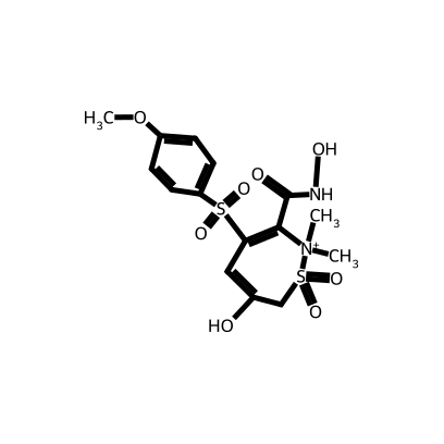 COc1ccc(S(=O)(=O)C2=C(C(=O)NO)[N+](C)(C)S(=O)(=O)CC(O)=C2)cc1